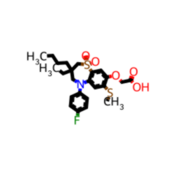 CCCCC1(CC)CN(c2ccc(F)cc2)c2cc(SC)c(OCC(=O)O)cc2S(=O)(=O)C1